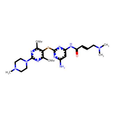 COc1nc(N2CCN(C)CC2)nc(OC)c1Sc1nc(N)cc(NC(=O)C=CCN(C)C)n1